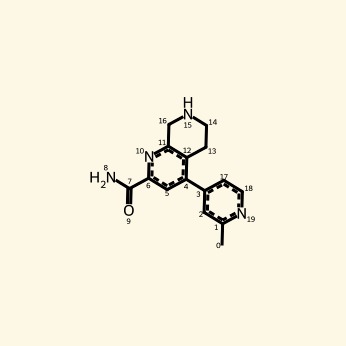 Cc1cc(-c2cc(C(N)=O)nc3c2CCNC3)ccn1